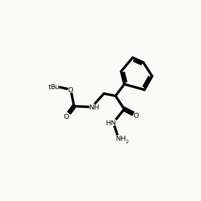 CC(C)(C)OC(=O)NCC(C(=O)NN)c1ccccc1